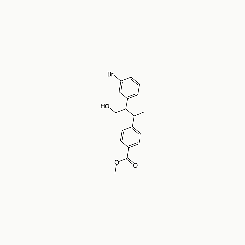 COC(=O)c1ccc(C(C)C(CO)c2cccc(Br)c2)cc1